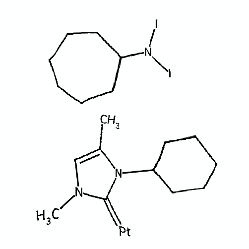 Cc1cn(C)[c](=[Pt])n1C1CCCCC1.IN(I)C1CCCCCC1